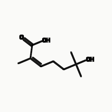 CC(=CCCC(C)(C)O)C(=O)O